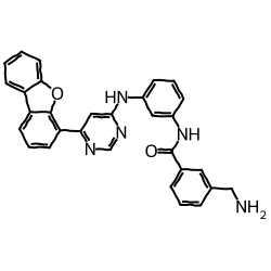 NCc1cccc(C(=O)Nc2cccc(Nc3cc(-c4cccc5c4oc4ccccc45)ncn3)c2)c1